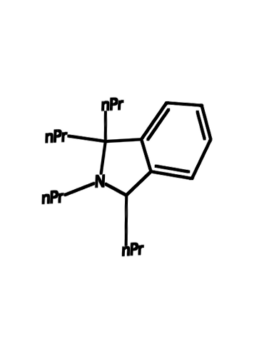 CCCC1c2ccccc2C(CCC)(CCC)N1CCC